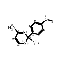 COc1ccc(C2(N)N=C(N)C=CN2)cc1